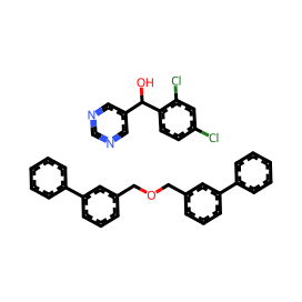 OC(c1cncnc1)c1ccc(Cl)cc1Cl.c1ccc(-c2cccc(COCc3cccc(-c4ccccc4)c3)c2)cc1